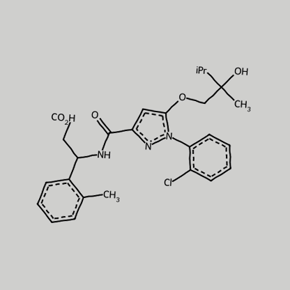 Cc1ccccc1C(CC(=O)O)NC(=O)c1cc(OCC(C)(O)C(C)C)n(-c2ccccc2Cl)n1